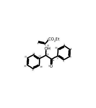 C=CC(=O)OCC.O=C(c1ccccc1)C(O)c1ccccc1